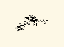 CCc1c(C(=O)O)sc2nc(C)n(COCC[Si](C)(C)C)c12